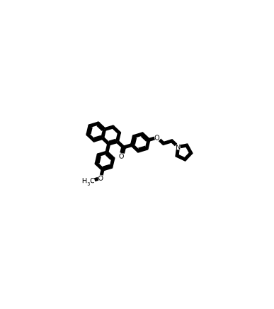 COc1ccc(C2=C(C(=O)c3ccc(OCCN4CCCC4)cc3)CCc3ccccc32)cc1